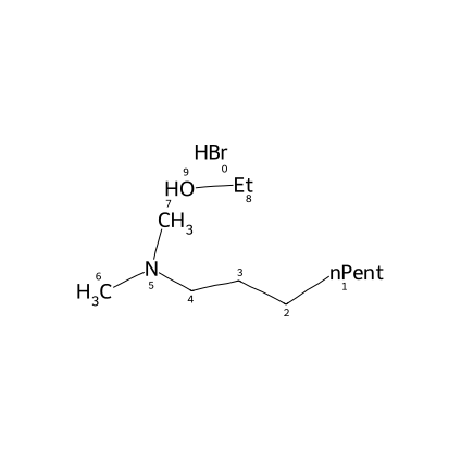 Br.CCCCCCCCN(C)C.CCO